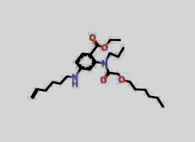 C=CCCCCNc1ccc(C(=O)OCC)c(N(CCC)C(=O)COCCCCCC)c1